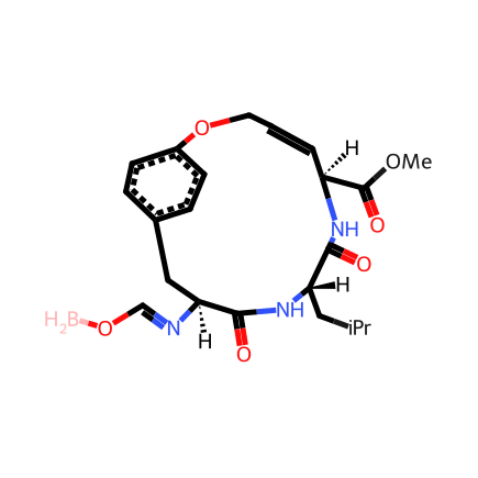 BOC=N[C@H]1Cc2ccc(cc2)OCC=C[C@@H](C(=O)OC)NC(=O)[C@H](CC(C)C)NC1=O